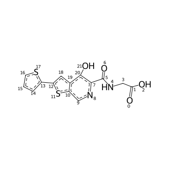 O=C(O)CNC(=O)c1ncc2sc(-c3cccs3)cc2c1O